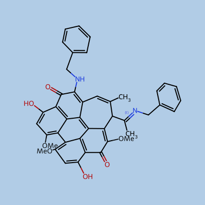 COc1c2c3c4c(c(NCc5ccccc5)c(=O)c5c(O)cc(OC)c(c6c(OC)cc(O)c(c1=O)c63)c54)C=C(C)C2/C(C)=N/Cc1ccccc1